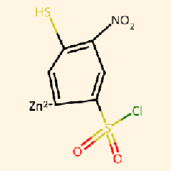 O=[N+]([O-])c1cc(S(=O)(=O)Cl)ccc1S.[Zn+2]